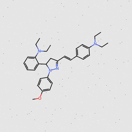 CCN(CC)c1ccc(C=CC2=NN(c3ccc(OC)cc3)C(c3ccccc3N(CC)CC)C2)cc1